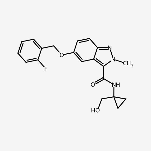 Cn1nc2ccc(OCc3ccccc3F)cc2c1C(=O)NC1(CO)CC1